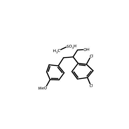 COc1ccc(CC(CO)c2ccc(Cl)cc2Cl)cc1.CS(=O)(=O)O